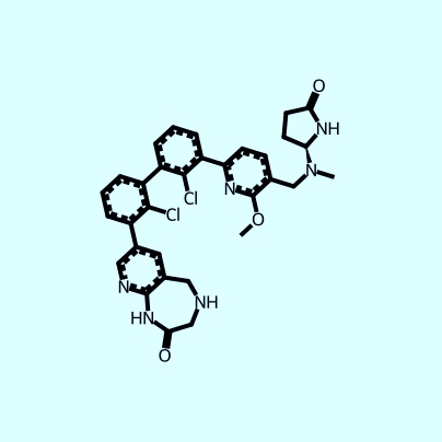 COc1nc(-c2cccc(-c3cccc(-c4cnc5c(c4)CNCC(=O)N5)c3Cl)c2Cl)ccc1CN(C)[C@H]1CCC(=O)N1